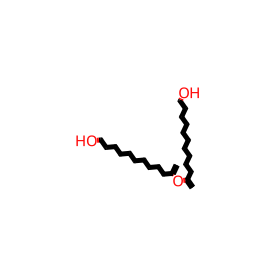 C=C(CCCCCCCCCCO)OC(=C)CCCCCCCCCCO